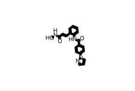 O=C(C=Cc1ccccc1NC(=O)c1ccc(-n2cccn2)cc1)NO